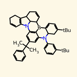 CC(C)(C)C1=CC=C2B3c4c(cc(C(C)(C)c5ccccc5)cc4N(c4cccc(C(C)(C)C)c4)C2C1)N1C2=C(CCC=C2)C2CC=CC3C21